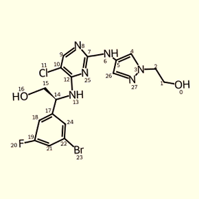 OCCn1cc(Nc2ncc(Cl)c(N[C@H](CO)c3cc(F)cc(Br)c3)n2)cn1